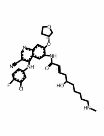 CNCCCCCC(O)C/C=C/C(=O)Nc1cc2c(Nc3ccc(F)c(Cl)c3)c(C#N)cnc2cc1O[C@H]1CCOC1